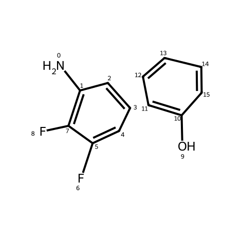 Nc1cccc(F)c1F.Oc1ccccc1